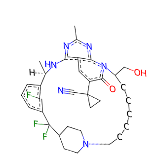 Cc1nc2c3cc(C4(C#N)CC4)c(=O)n(c3n1)C(CO)CCCCCCN1CCC(CC1)C(F)(F)c1cccc(c1F)[C@@H](C)N2